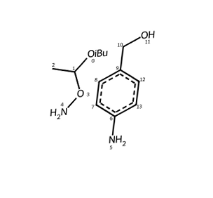 CC(C)COC(C)ON.Nc1ccc(CO)cc1